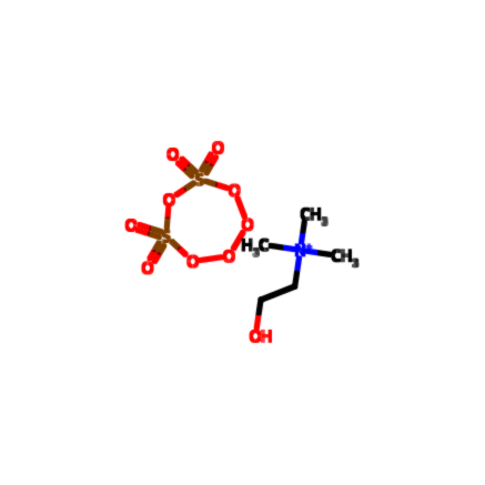 C[N+](C)(C)CCO.O=S1(=O)OOOOS(=O)(=O)O1